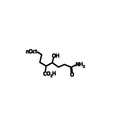 CCCCCCCCCCC(C(=O)O)C(O)CCC(N)=O